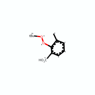 Cc1cccc(C(=O)O)c1OOC(C)(C)C